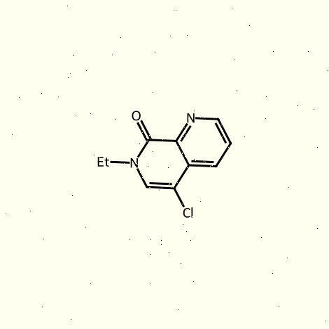 CCn1cc(Cl)c2cccnc2c1=O